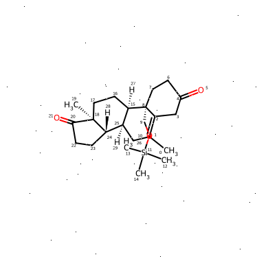 CC1=C2CC(=O)CC[C@]2(CO[Si](C)(C)C)[C@@H]2CC[C@]3(C)C(=O)CC[C@H]3[C@@H]2C1